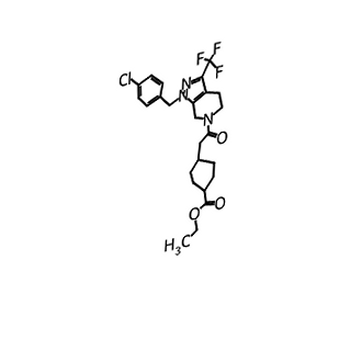 CCOC(=O)C1CCC(CC(=O)N2CCc3c(C(F)(F)F)nn(Cc4ccc(Cl)cc4)c3C2)CC1